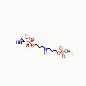 C1CN1.CS(=O)(=O)OCCCNCCCOS(C)(=O)=O